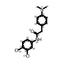 CN(C)c1ccc(CC(=O)Nc2ccc(Cl)c(Cl)c2)cc1